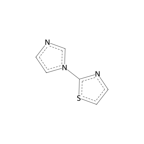 c1cn(-c2nccs2)cn1